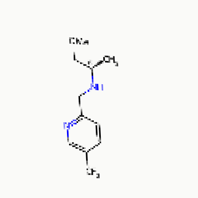 COC[C@@H](C)NCc1ccc(C(F)(F)F)cn1